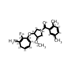 COC1CN(C(=O)c2cc(C)ccc2C)CC1OC1=CC=CCC(N)=C1F